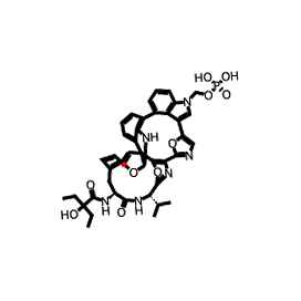 CCC(O)(CC)C(=O)N[C@H]1Cc2ccc3c(c2)C24c5cccc(c5NC2O3)-c2cccc3c2c(cn3COP(=O)(O)O)-c2cnc(o2)-c2nc(oc24)[C@H](C(C)C)NC1=O